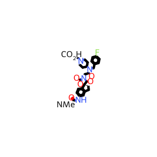 CNC(=O)Nc1ccc2c(c1)CC[C@@]21OC(=O)N(CC(=O)N(Cc2ccc(F)cc2)C2CCN(CC(=O)O)CC2)C1=O